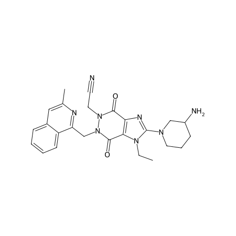 CCn1c(N2CCCC(N)C2)nc2c(=O)n(CC#N)n(Cc3nc(C)cc4ccccc34)c(=O)c21